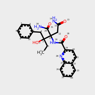 CCC(O)(Cc1ccccc1)C(CC(N)=O)(NC(=O)c1ccc2ccccc2n1)C(N)=O